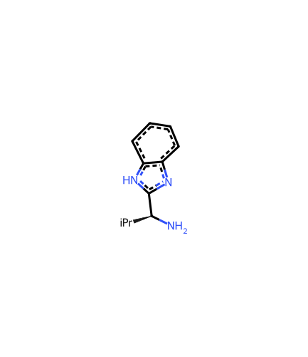 CC(C)[C@H](N)c1nc2ccccc2[nH]1